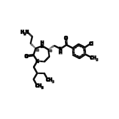 CCC(CC)CN1CC[C@@H](CNC(=O)c2ccc(C)c(Cl)c2)N[C@@H](CCN)C1=O